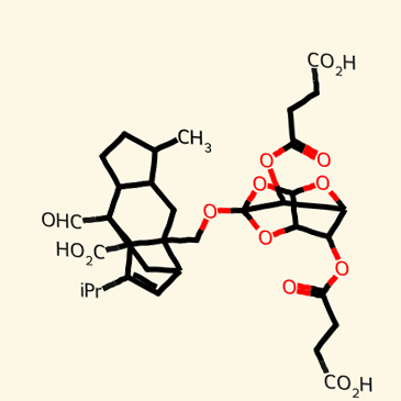 CC(C)C1=CC2CC3(C=O)C4CCC(C)C4CC2(COC24OC5OC(C(OC(=O)CCC(=O)O)C5O2)C4OC(=O)CCC(=O)O)C13C(=O)O